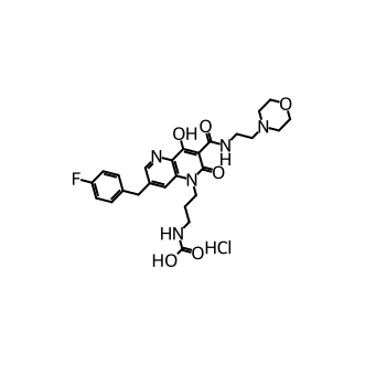 Cl.O=C(O)NCCCn1c(=O)c(C(=O)NCCN2CCOCC2)c(O)c2ncc(Cc3ccc(F)cc3)cc21